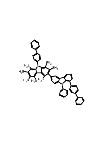 Bc1c(B)c(B)c2c(c1B)c1c(B)c(-c3ccc4c(c3)c3cccc(-c5ccc(-c6ccccc6)cc5)c3n4-c3ccccc3)c(B)c(B)c1n2-c1ccc(-c2ccccc2)cc1